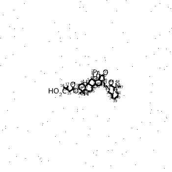 CC(C)C1=C2[C@H]3CC[C@@H]4[C@@]5(C)CC[C@H](OC(=O)CC(C)(C)C(=O)O)C(C)(C)[C@@H]5CC[C@@]4(C)[C@]3(C)CC[C@@]2(CCN(Cc2ccccn2)C(=O)CN(C)C)CC1=O